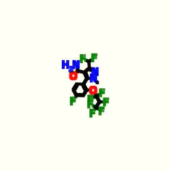 Cn1nc(C(F)F)c(C(N)=O)c1-c1ccc(F)cc1OC(F)(F)C(F)C(F)(F)F